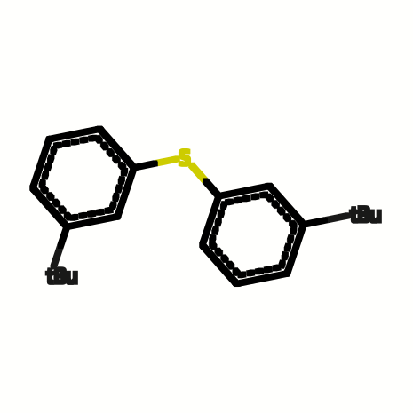 CC(C)(C)c1cccc(Sc2cccc(C(C)(C)C)c2)c1